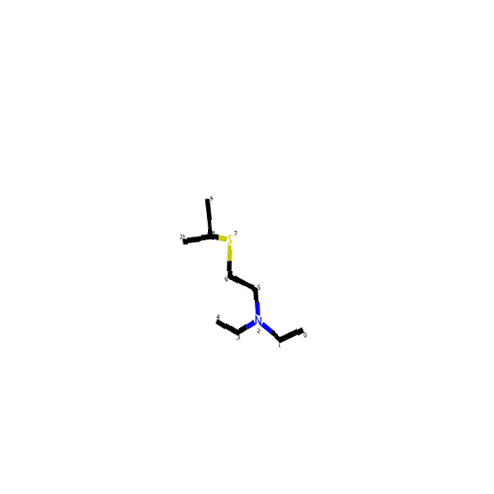 CCN(CC)CCSC(C)C